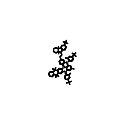 Cc1cc2c3c(c1)N(c1ccc(C(C)(C)C)cc1C)c1cc4c(cc1B3c1ccc(CCC3c5ccc(C(C)(C)C)cc5C5(C)CCCCC35C)cc1N2c1ccc(C(C)(C)C)cc1C)C(C)(C)c1ccccc1C4(C)C